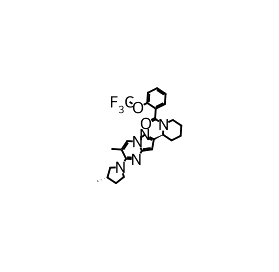 Cc1cn2nc([C@@H]3CCCCN3C(=O)c3ccccc3OC(F)(F)F)cc2nc1N1CC[C@H](C)C1